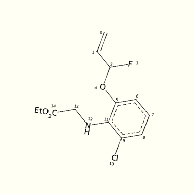 C=CC(F)Oc1cccc(Cl)c1NCC(=O)OCC